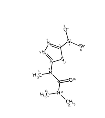 CC(C)[S+]([O-])c1nnc(N(C)C(=O)N(C)C)s1